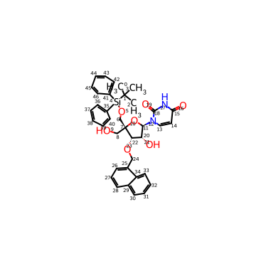 CC(C)(C)[Si](OC[C@@]1(CO)O[C@@H](n2ccc(=O)[nH]c2=O)[C@H](O)[C@@H]1OCc1cccc2ccccc12)(c1ccccc1)c1ccccc1